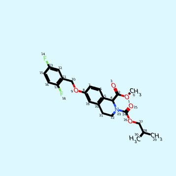 COC(=O)C1c2ccc(OCc3cc(F)ccc3F)cc2CCN1C(=O)OCC(C)C